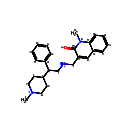 BN1CCC(C(CNCc2cc3ccccc3n(C)c2=O)c2ccccc2)CC1